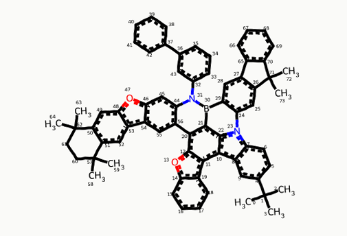 CC(C)(C)c1ccc2c(c1)c1c3c(oc4ccccc43)c3c4c1n2-c1cc2c(cc1B4N(c1cccc(-c4ccccc4)c1)c1cc4oc5cc6c(cc5c4cc1-3)C(C)(C)CCC6(C)C)-c1ccccc1C2(C)C